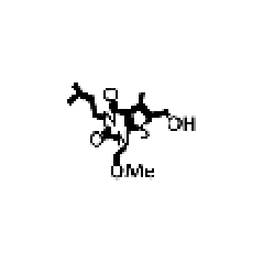 COCCn1c(=O)n(CC=C(C)C)c(=O)c2c(C)c(CO)sc21